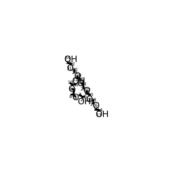 CC(O)COC(C)COC(C)CO.OCCOCCOCCOCCOCCOCCOCCO